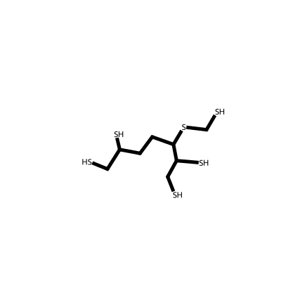 SCSC(CCC(S)CS)C(S)CS